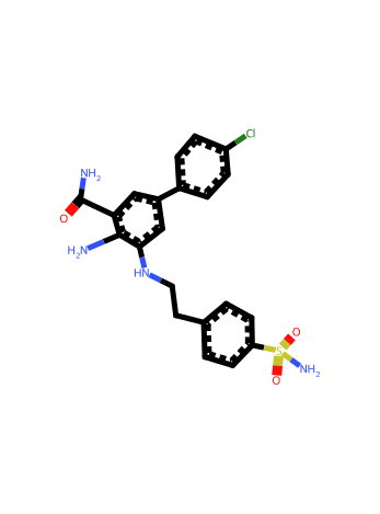 NC(=O)c1cc(-c2ccc(Cl)cc2)cc(NCCc2ccc(S(N)(=O)=O)cc2)c1N